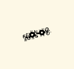 O=[N+]([O-])c1ccc(-c2nc3ccc(OC(F)(F)F)cc3s2)cc1